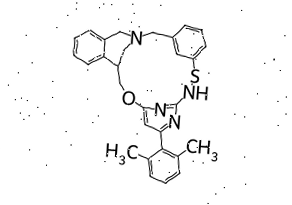 Cc1cccc(C)c1-c1cc2nc(n1)NSc1cccc(c1)CN1Cc3ccccc3C(CO2)C1